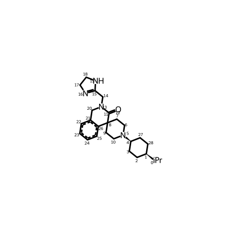 CC(C)[C@H]1CC[C@@H](N2CCC3(CC2)C(=O)N(CC2=NCCN2)Cc2ccccc23)CC1